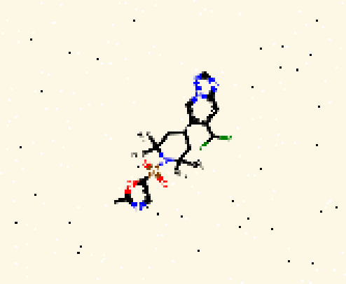 BC1(B)CC(c2cn3ncnc3cc2C(F)F)CC(B)(B)N1S(=O)(=O)c1cnc(C)o1